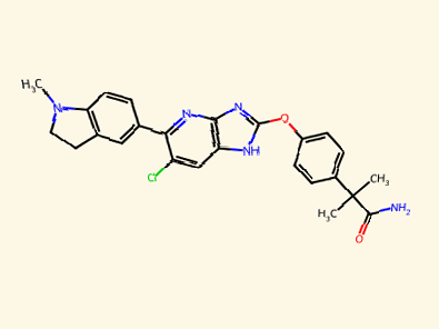 CN1CCc2cc(-c3nc4nc(Oc5ccc(C(C)(C)C(N)=O)cc5)[nH]c4cc3Cl)ccc21